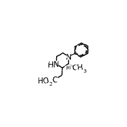 C[C@@H]1C(CC(=O)O)NCCN1c1ccccc1